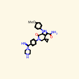 COc1ccc(-n2nc(C(N)=O)c3c2C(=O)N(c2ccc(C(=N)N4CCNCC4)cc2)CC32CC2)cc1